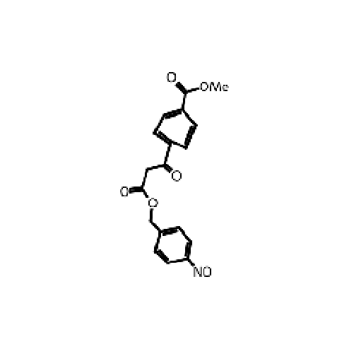 COC(=O)c1ccc(C(=O)CC(=O)OCc2ccc(N=O)cc2)cc1